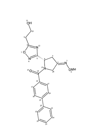 CON=C1C[C@@H](c2noc(CCO)n2)N(C(=O)c2ccc(-c3ccccc3)cc2)C1